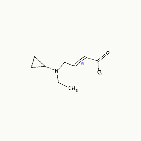 CCN(C/C=C/C(=O)Cl)C1CC1